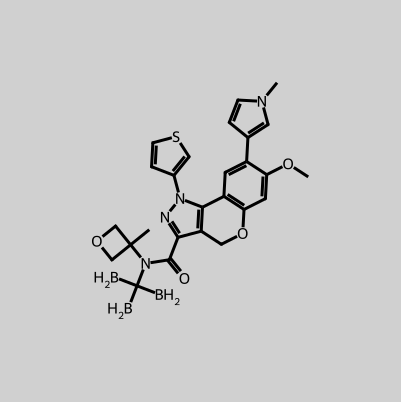 BC(B)(B)N(C(=O)c1nn(-c2ccsc2)c2c1COc1cc(OC)c(-c3ccn(C)c3)cc1-2)C1(C)COC1